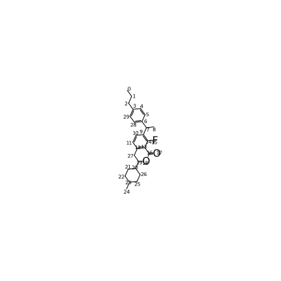 CCCc1ccc(C(C)c2ccc3c(c2F)C(=O)OC(C2CCC(C)CC2)C3)cc1